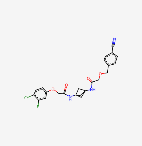 N#Cc1ccc(COCC(=O)NC23CC(NC(=O)COc4ccc(Cl)c(F)c4)(C2)C3)cc1